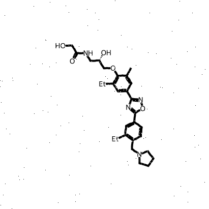 CCc1cc(-c2nc(-c3cc(C)c(OC[C@@H](O)CNC(=O)CO)c(CC)c3)no2)ccc1CN1CCCC1